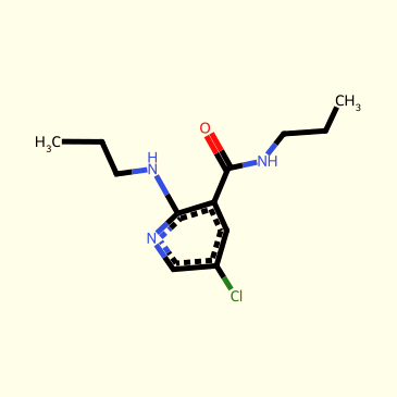 CCCNC(=O)c1cc(Cl)cnc1NCCC